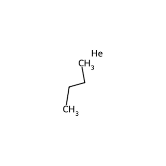 CCCC.[He]